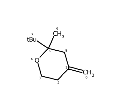 C=C1CCOC(C)(C(C)(C)C)C1